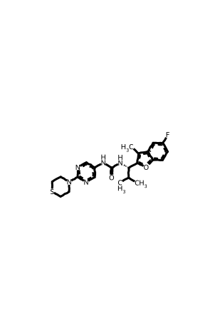 Cc1c([C@@H](NC(=O)Nc2cnc(N3CCSCC3)nc2)C(C)C)oc2ccc(F)cc12